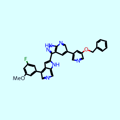 COc1cc(F)cc(-c2cncc3[nH]c(-c4n[nH]c5ncc(-c6cncc(OCc7ccccc7)c6)cc45)cc23)c1